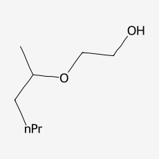 CCCCC(C)OCCO